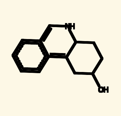 OC1CCC2NC=c3ccccc3=C2C1